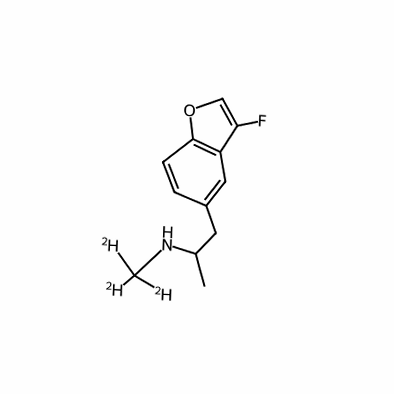 [2H]C([2H])([2H])NC(C)Cc1ccc2occ(F)c2c1